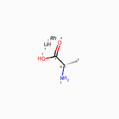 C[C@H](N)C(=O)O.[LiH].[Rh]